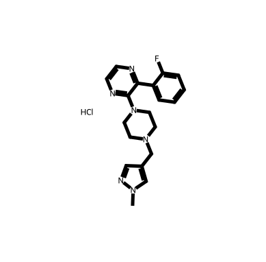 Cl.Cn1cc(CN2CCN(c3nccnc3-c3ccccc3F)CC2)cn1